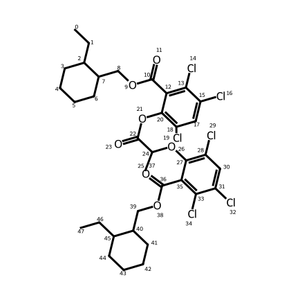 CCC1CCCCC1COC(=O)c1c(Cl)c(Cl)cc(Cl)c1OC(=O)C(C)Oc1c(Cl)cc(Cl)c(Cl)c1C(=O)OCC1CCCCC1CC